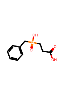 O=C(O)CCP(=O)(O)Cc1ccccc1